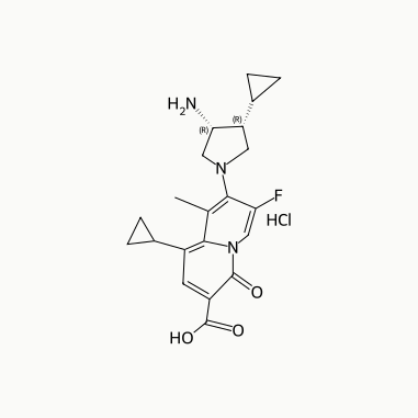 Cc1c(N2C[C@H](N)[C@H](C3CC3)C2)c(F)cn2c(=O)c(C(=O)O)cc(C3CC3)c12.Cl